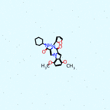 COc1ccc(OC)c2c1cc1c(=O)n(Cc3ccco3)c(C(=O)NC3CCCCC3)cn12